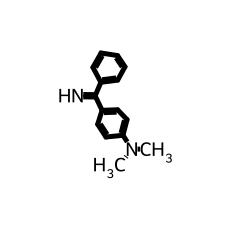 CN(C)c1ccc(C(=N)c2ccccc2)cc1